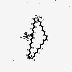 CCCCCCCC/C=C\CCCCCCCCO.CCCCCCCCCCCCCCCCO.O=S(=O)(O)O